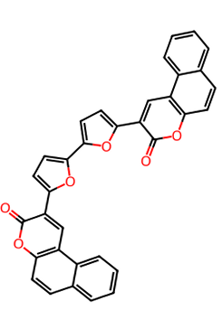 O=c1oc2ccc3ccccc3c2cc1-c1ccc(-c2ccc(-c3cc4c(ccc5ccccc54)oc3=O)o2)o1